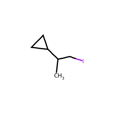 CC(CI)C1CC1